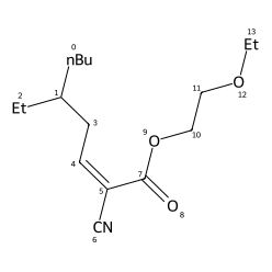 CCCCC(CC)CC=C(C#N)C(=O)OCCOCC